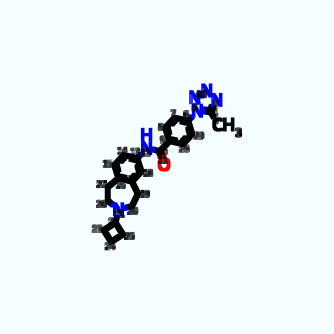 Cc1nnnn1-c1ccc(C(=O)Nc2ccc3c(c2)CCN(C2CCC2)CC3)cc1